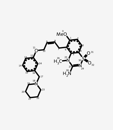 COc1ccc2c(c1C/C=C\COc1cccc(CN3CCCCC3)c1)N(C)C(N)=NS2(=O)=O